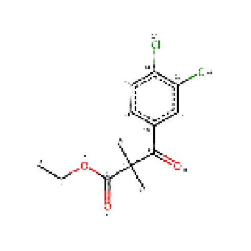 CCOC(=O)C(C)(C)C(=O)c1ccc(Cl)c(Cl)c1